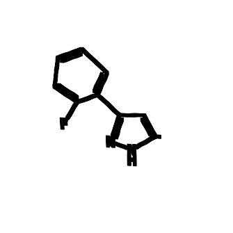 Fc1ccccc1-c1c[c][nH]n1